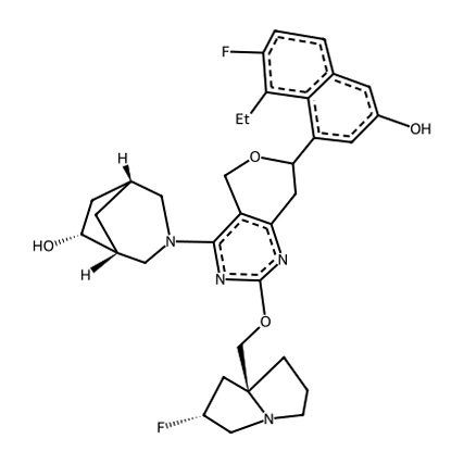 CCc1c(F)ccc2cc(O)cc(C3Cc4nc(OC[C@@]56CCCN5C[C@H](F)C6)nc(N5C[C@@H]6C[C@H](C5)[C@H](O)C6)c4CO3)c12